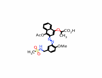 COc1ccc(CNS(C)(=O)=O)cc1/N=N/c1cc(OC(C)C(=O)O)c2ccccc2c1OC(C)=O